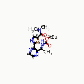 C[C@H](NC(=O)OC(C)(C)C)c1nccnc1-c1ncc(C(=O)N(C)C)s1